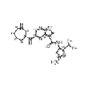 Cn1cc(NC(=O)c2csc3ncc(N[C@@H]4CCCCNC4)nc23)c(C(F)F)n1